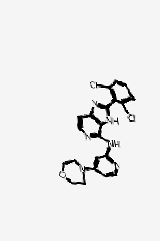 Clc1cccc(Cl)c1-c1nc2ccnc(Nc3cc(N4CCOCC4)ccn3)c2[nH]1